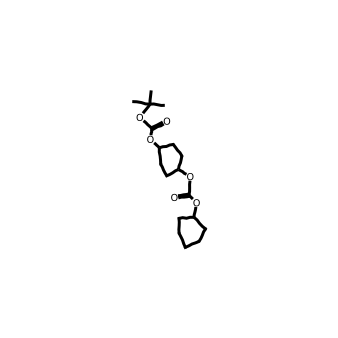 CC(C)(C)OC(=O)OC1CCC(OC(=O)OC2CCCCC2)CC1